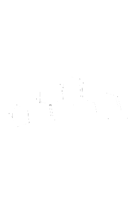 O=C(N[C@@H]1CCNC1)c1cc(-c2ccc(Cl)c(Cl)c2)ncn1